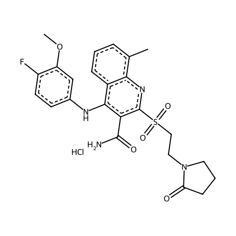 COc1cc(Nc2c(C(N)=O)c(S(=O)(=O)CCN3CCCC3=O)nc3c(C)cccc23)ccc1F.Cl